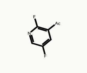 CC(=O)c1cc(F)cnc1F